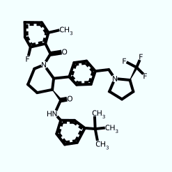 Cc1cccc(F)c1C(=O)N1CCC[C@H](C(=O)Nc2cccc(C(C)(C)C)c2)C1c1ccc(CN2CCC[C@@H]2C(F)(F)F)cc1